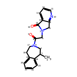 CC1CN(C(=O)CN2Cc3ncccc3C2=O)CCc2ccccc21